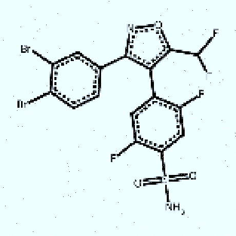 NS(=O)(=O)c1cc(F)c(-c2c(-c3ccc(Br)c(Br)c3)noc2C(F)F)cc1F